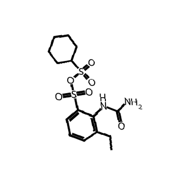 CCc1cccc(S(=O)(=O)OS(=O)(=O)C2CCCCC2)c1NC(N)=O